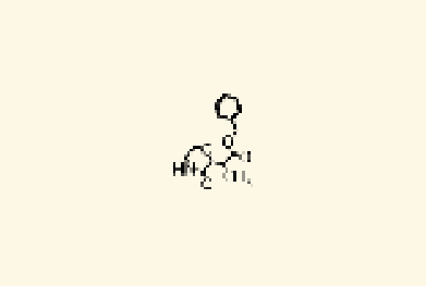 CC(C(=O)OCc1ccccc1)C1OCCNC1=O